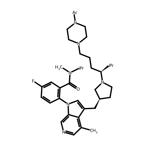 CC(=O)N1CCN(CCC[C@@H](C(C)C)N2CC[C@@H](Cc3cn(-c4ccc(F)cc4C(=O)N(C)C(C)C)c4cncc(C)c34)C2)CC1